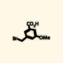 COc1cc(CBr)cc(C(=O)O)c1